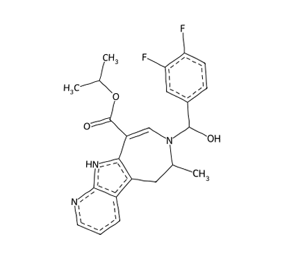 CC(C)OC(=O)C1=CN(C(O)c2ccc(F)c(F)c2)C(C)Cc2c1[nH]c1ncccc21